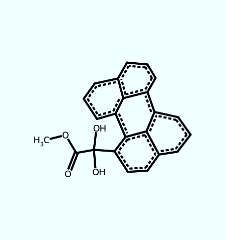 COC(=O)C(O)(O)c1ccc2cccc3c4cccc5cccc(c1c23)c54